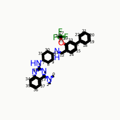 CN(C)c1nc(N[C@H]2CC[C@@H](NCc3ccc(-c4ccccc4)cc3OC(F)(F)F)CC2)nc2ccccc12